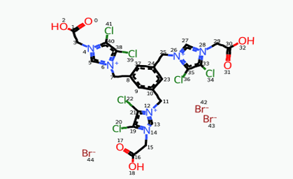 O=C(O)Cn1c[n+](Cc2cc(C[n+]3cn(CC(=O)O)c(Cl)c3Cl)cc(C[n+]3cn(CC(=O)O)c(Cl)c3Cl)c2)c(Cl)c1Cl.[Br-].[Br-].[Br-]